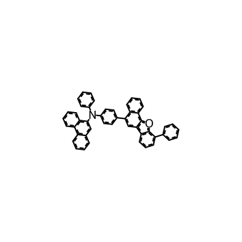 c1ccc(-c2cccc3c2oc2c4ccccc4c(-c4ccc(N(c5ccccc5)c5cc6ccccc6c6ccccc56)cc4)cc32)cc1